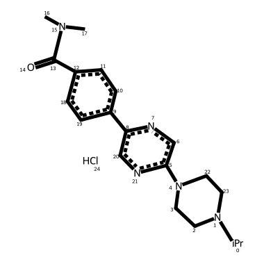 CC(C)N1CCN(c2cnc(-c3ccc(C(=O)N(C)C)cc3)cn2)CC1.Cl